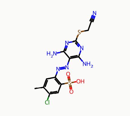 Cc1cc(/N=N/c2c(N)nc(SCC#N)nc2N)c(S(=O)(=O)O)cc1Cl